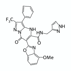 COc1cccc2oc(-c3c(C(=O)NCc4cc[nH]n4)[nH]c4c(-c5ccccc5)c(C(F)(F)F)nn4c3=O)nc12